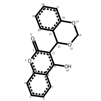 O=c1oc2ccccc2c(O)c1C1OCOc2ccccc21